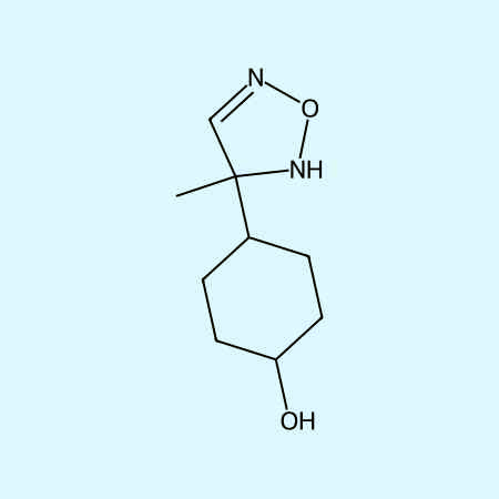 CC1(C2CCC(O)CC2)C=NON1